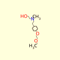 CCOCCOc1ccc(CCN(C)CCO)cc1